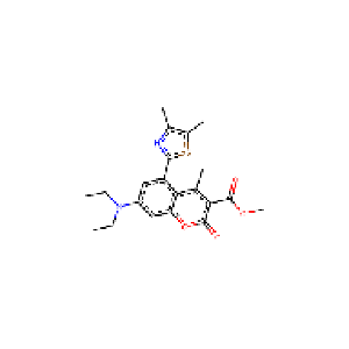 CCN(CC)c1cc(-c2nc(C)c(C)s2)c2c(C)c(C(=O)OC)c(=O)oc2c1